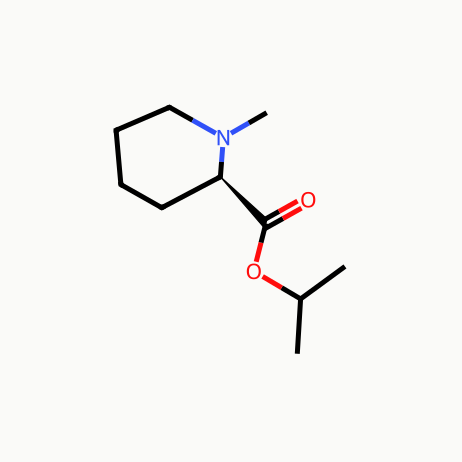 CC(C)OC(=O)[C@H]1CCCCN1C